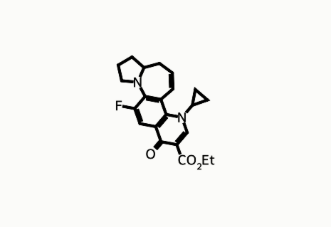 CCOC(=O)c1cn(C2CC2)c2c3c(c(F)cc2c1=O)N1CCCC1CC=C3